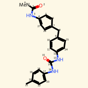 CNC(=O)Nc1ccc(Cc2ccc(NC(=O)Nc3ccc(C)cc3)cc2)cc1